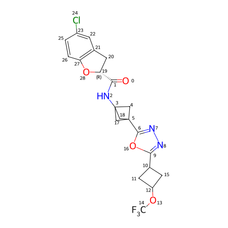 O=C(NC12CC(c3nnc(C4CC(OC(F)(F)F)C4)o3)(C1)C2)[C@H]1Cc2cc(Cl)ccc2O1